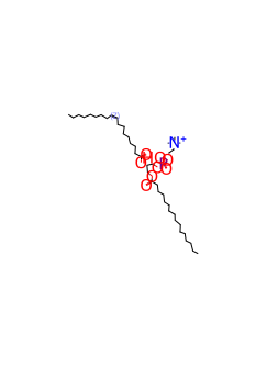 CCCCCCCC/C=C\CCCCCCCC(=O)OC(COC(=O)CCCCCCCCCCCCCCC)COP(=O)(O)OCC[N+](C)(C)C